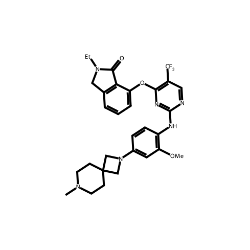 CCN1Cc2cccc(Oc3nc(Nc4ccc(N5CC6(CCN(C)CC6)C5)cc4OC)ncc3C(F)(F)F)c2C1=O